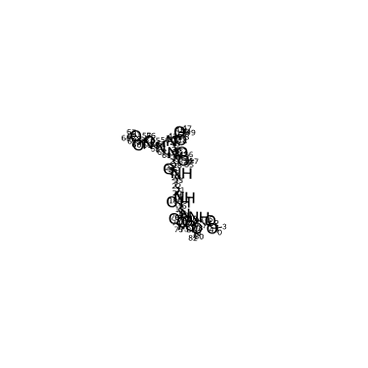 CC(C)(C)OC(=O)CCC(NC(=O)NC(CCC(=O)NCCCCCNC(=O)CCC(C(=O)OC(C)(C)C)N1CCN(CC(=O)OC(C)(C)C)CCN(Cc2cccc(C(=O)OC(C)(C)C)n2)CC1)C(=O)OC(C)(C)C)C(=O)OC(C)(C)C